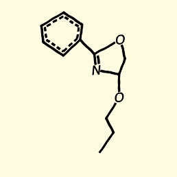 CCCOC1COC(c2ccccc2)=N1